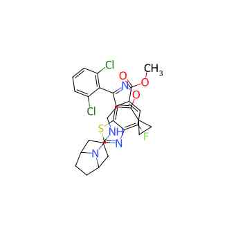 COC(=O)c1cc(F)c2nc(N3C4CCC3CC(NCc3c(-c5c(Cl)cccc5Cl)noc3C3CC3)C4)sc2c1